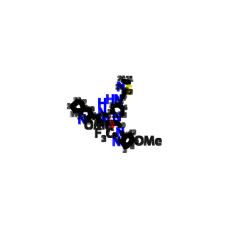 COc1ccc2nc(C(F)(F)F)n(CC(=O)N3CC[C@H](NCc4nccs4)C[C@H]3c3ncc(-c4cc5ccccc5nc4OC)[nH]3)c2c1